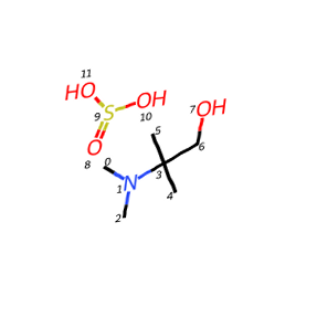 CN(C)C(C)(C)CO.O=S(O)O